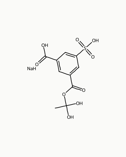 CC(O)(O)OC(=O)c1cc(C(=O)O)cc(S(=O)(=O)O)c1.[NaH]